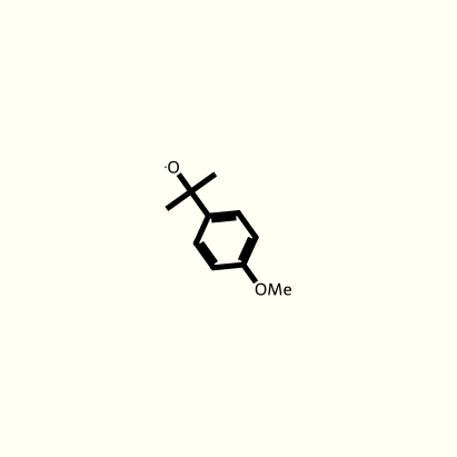 COc1ccc(C(C)(C)[O])cc1